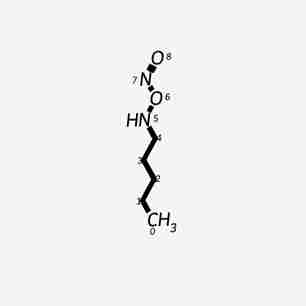 CCCCCNON=O